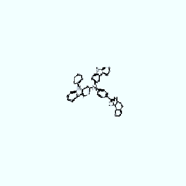 c1ccc(-n2c3ccccc3c3ccc(N(c4ccc(-c5nc6ccc7ccccc7c6o5)cc4)c4ccc5sc6ccccc6c5c4)cc32)cc1